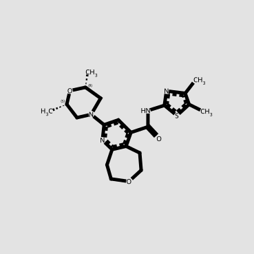 Cc1nc(NC(=O)c2cc(N3C[C@@H](C)O[C@@H](C)C3)nc3c2CCOCC3)sc1C